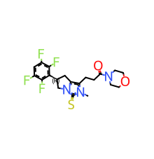 Cn1c(CCC(=O)N2CCOCC2)c2n(c1=S)C[C@@H](c1c(F)c(F)cc(F)c1F)C2